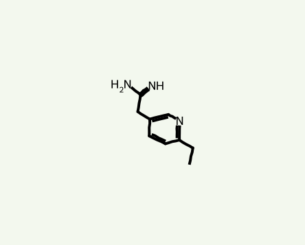 CCc1ccc(CC(=N)N)cn1